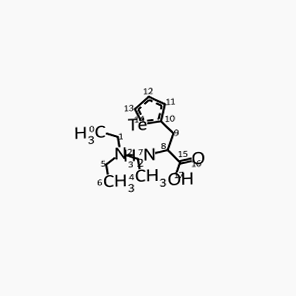 CCN(CC)CC.NC(Cc1ccc[te]1)C(=O)O